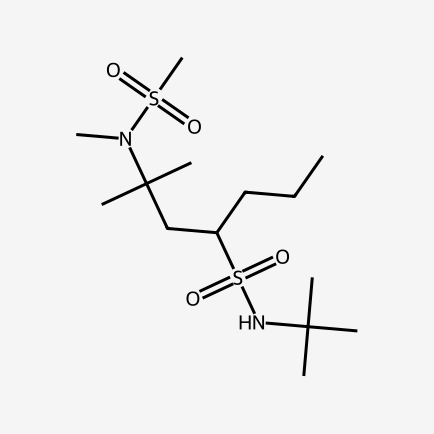 CCCC(CC(C)(C)N(C)S(C)(=O)=O)S(=O)(=O)NC(C)(C)C